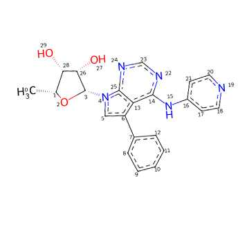 C[C@H]1O[C@@H](n2cc(-c3ccccc3)c3c(Nc4ccncc4)ncnc32)[C@@H](O)[C@H]1O